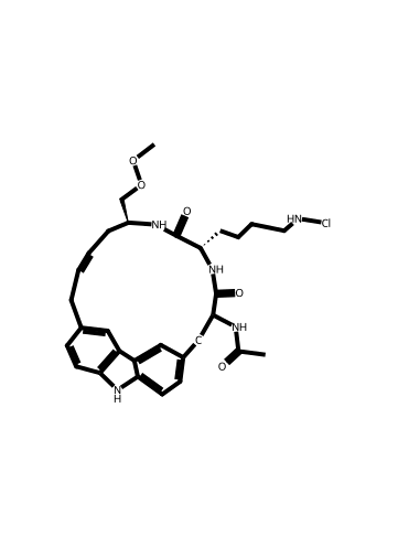 COOC[C@@H]1CC=CCc2ccc3[nH]c4ccc(cc4c3c2)CC(NC(C)=O)C(=O)N[C@@H](CCCCNCl)C(=O)N1